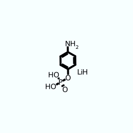 Nc1ccc(OP(=O)(O)O)cc1.[LiH]